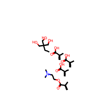 C=C(C)C(=O)O.C=C(C)C(=O)O.C=C(C)C(=O)O.C=C(C)C(=O)OCCN(C)C.CCC(CO)(CO)CO